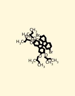 CCC(C)COc1cc2c(cc1OCC(C)CC)C1(c3cc(OCC(C)CC)c(OCC(C)CC)cc3-2)c2cc(Br)ccc2-c2ccc(Br)c(C)c21